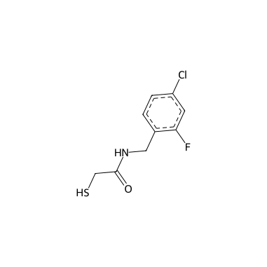 O=C(CS)NCc1ccc(Cl)cc1F